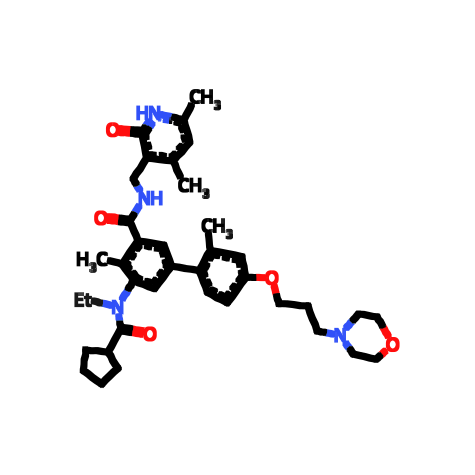 CCN(C(=O)C1CCCC1)c1cc(-c2ccc(OCCCN3CCOCC3)cc2C)cc(C(=O)NCc2c(C)cc(C)[nH]c2=O)c1C